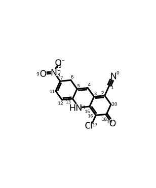 N#CC1=C2C=C3CC([N+](=O)[O-])=CC=C3NC2=C(Cl)C(=O)C1